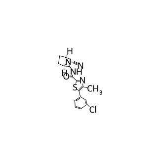 Cc1nc(C(=O)N[C@@H]2C[C@@H]3CC[C@H]2N3C#N)sc1-c1cccc(Cl)c1